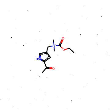 CCOC(=O)[N+](C)(C)Cc1c[nH]c(C(C)=O)c1